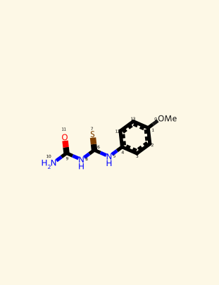 COc1ccc(NC(=S)NC(N)=O)cc1